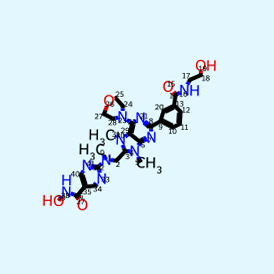 CN(CC1N(C)c2nc(-c3cccc(C(=O)NCCO)c3)nc(N3CCOCC3)c2N1C)c1ncc(C(=O)NO)cn1